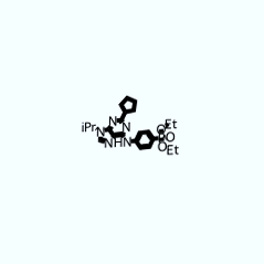 CCOP(=O)(OCC)c1ccc(Nc2nc(C3CCCC3)nc3c2ncn3C(C)C)cc1